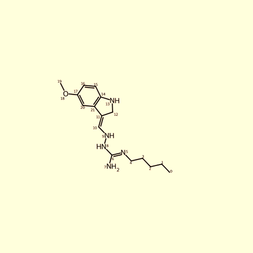 CCCCCN=C(N)NNC=C1CNc2ccc(OC)cc21